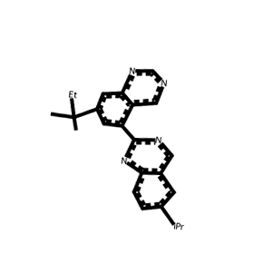 CCC(C)(C)c1cc(-c2ncc3cc(C(C)C)ccc3n2)c2cncnc2c1